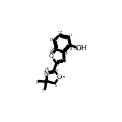 CC1(C)COC(c2cc3c(O)cccc3o2)=N1